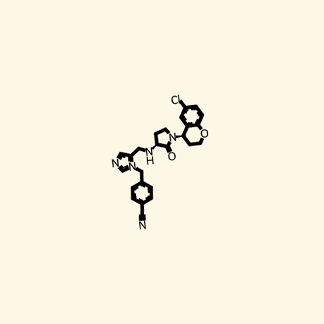 N#Cc1ccc(Cn2cncc2CN[C@H]2CCN([C@@H]3CCOc4ccc(Cl)cc43)C2=O)cc1